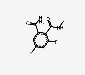 CNC(=O)c1c(F)cc(F)cc1C(N)=O